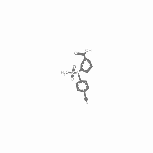 CS(=O)(=O)N(c1ccc(C#N)cc1)c1cccc(C(=O)O)c1